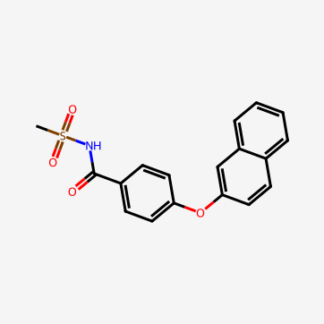 CS(=O)(=O)NC(=O)c1ccc(Oc2ccc3ccccc3c2)cc1